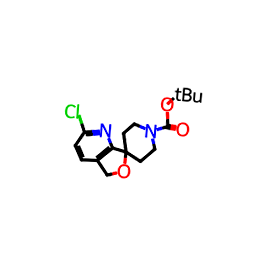 CC(C)(C)OC(=O)N1CCC2(CC1)OCc1ccc(Cl)nc12